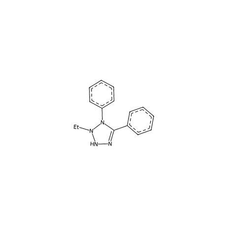 CCN1NN=C(c2ccccc2)N1c1ccccc1